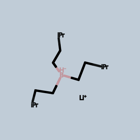 CC(C)CC[BH-](CCC(C)C)CCC(C)C.[Li+]